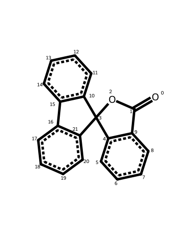 O=C1OC2(c3ccccc31)c1ccccc1-c1ccccc12